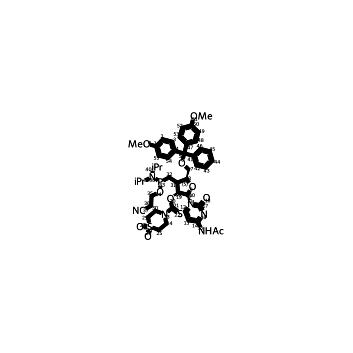 COc1ccc(C(OC[C@H]2O[C@@H](n3ccc(NC(C)=O)nc3=O)[C@@H](OC(=S)N3CCS(=O)(=O)CC3)C2CP(OCCC#N)N(C(C)C)C(C)C)(c2ccccc2)c2ccc(OC)cc2)cc1